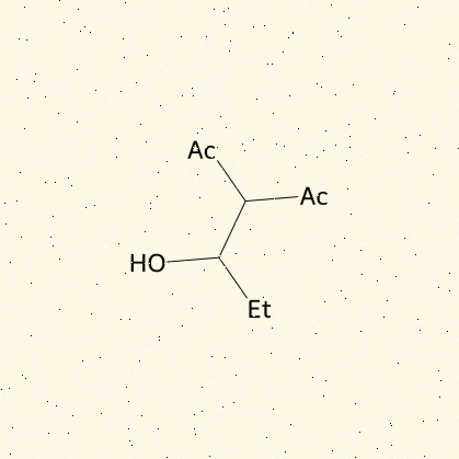 [CH2]CC(O)C(C(C)=O)C(C)=O